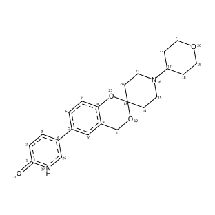 O=c1ccc(-c2ccc3c(c2)COC2(CCN(C4CCOCC4)CC2)O3)c[nH]1